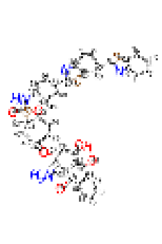 Cc1ccc2nc(-c3ccc4nc(-c5ccc(NS(=O)(=O)C6(C)C=CC=C(Oc7cc(O)c8c(c7N)C(=O)c7ccccc7C8=O)C=C6)c(C)c5)sc4c3)sc2c1